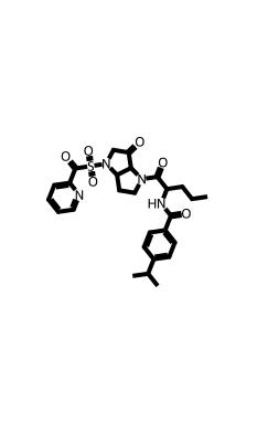 CCCC(NC(=O)c1ccc(C(C)C)cc1)C(=O)N1CCC2C1C(=O)CN2S(=O)(=O)C(=O)c1ccccn1